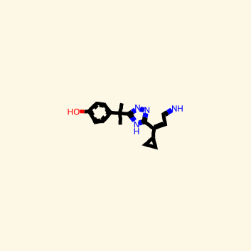 CC(C)(c1ccc(O)cc1)c1nnc(/C(=C\C=N)C2CC2)[nH]1